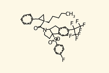 CCCCC[C@]1(C(=O)N2CCC3(S(=O)(=O)c4ccc(F)cc4)c4ccc(C(F)(C(F)(F)F)C(F)(F)F)cc4CC23)CC1c1ccccc1